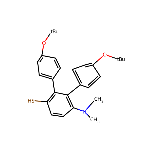 CN(C)c1ccc(S)c(-c2ccc(OC(C)(C)C)cc2)c1-c1ccc(OC(C)(C)C)cc1